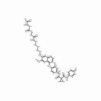 COc1cc2c(Oc3ccc(NC(=O)C4(C(=O)Nc5ccc(F)cc5)CC4)cc3F)ccnc2cc1OCCCCCNC(=O)CSC(=O)CNC(C)=O